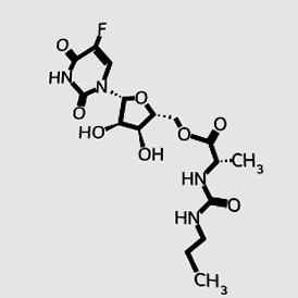 CCCNC(=O)N[C@@H](C)C(=O)OC[C@H]1O[C@@H](n2cc(F)c(=O)[nH]c2=O)[C@H](O)[C@@H]1O